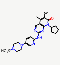 CC(=O)c1c(C)c2cnc(Nc3ccc(N4CCN(S(=O)(=O)O)CC4)cn3)nc2n(C2CCCC2)c1=O